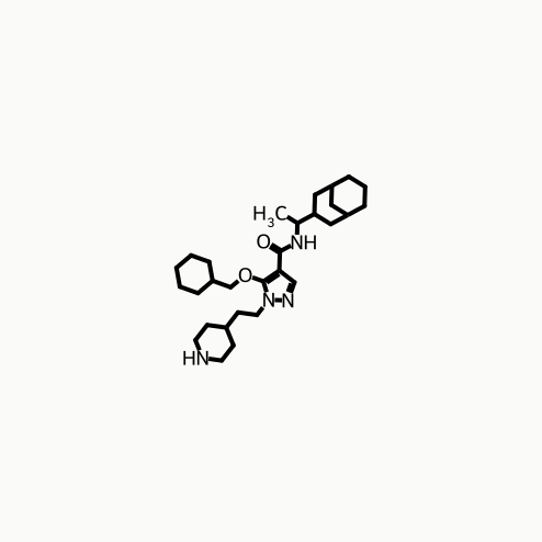 CC(NC(=O)c1cnn(CCC2CCNCC2)c1OCC1CCCCC1)C1CC2CCCC(C2)C1